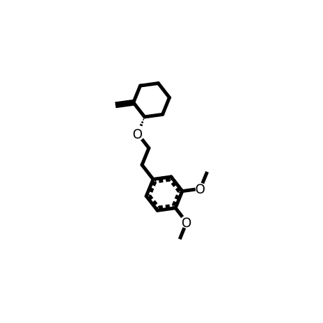 C=C1CCCC[C@@H]1OCCc1ccc(OC)c(OC)c1